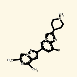 Cc1cn2nc(-c3cc(F)c4nc(C5CCN(C)CC5)cn4c3)cc2c(C)n1